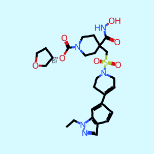 CCn1ncc2ccc(C3=CCN(S(=O)(=O)CC4(C(=O)NO)CCN(C(=O)O[C@H]5CCOC5)CC4)CC3)cc21